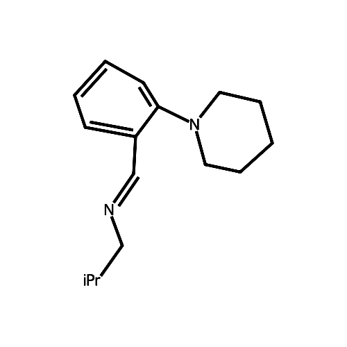 CC(C)CN=Cc1ccccc1N1CCCCC1